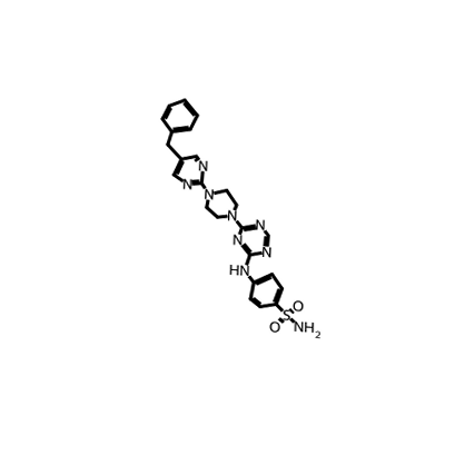 NS(=O)(=O)c1ccc(Nc2ncnc(N3CCN(c4ncc(Cc5ccccc5)cn4)CC3)n2)cc1